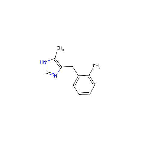 Cc1ccccc1Cc1nc[nH]c1C